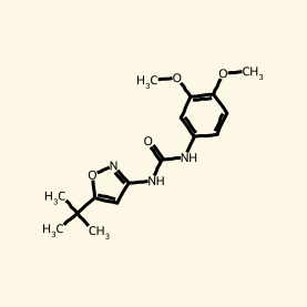 COc1ccc(NC(=O)Nc2cc(C(C)(C)C)on2)cc1OC